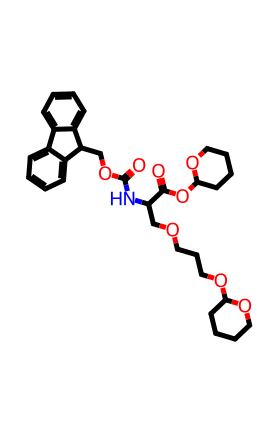 O=C(NC(COCCCOC1CCCCO1)C(=O)OC1CCCCO1)OCC1c2ccccc2-c2ccccc21